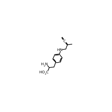 C=C=C(C)CNc1ccc(CC(N)C(=O)O)cc1